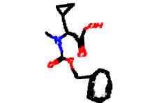 CN(C(=O)OCc1ccccc1)C(C(=O)O)C1CC1